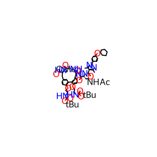 COC(=O)[C@@H]1Cc2ccc(OCCNC(=O)OC(C)(C)C)c(c2)-c2cc(ccc2OCCNC(=O)OC(C)(C)C)[C@H](N(C)C(=O)[C@H](CCNC(C)=O)NC(=O)c2c(C)nc(-c3ccc(OC4CCCCC4)cc3)nc2C)C(=O)N[C@@H](C)C(=O)N1